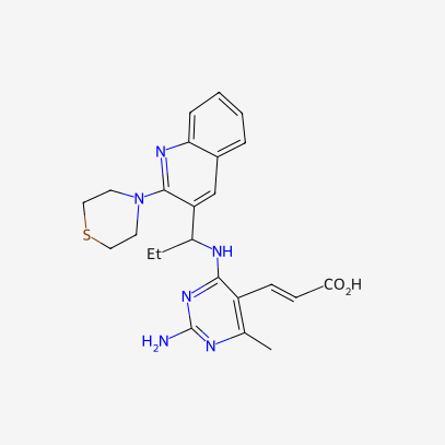 CCC(Nc1nc(N)nc(C)c1/C=C/C(=O)O)c1cc2ccccc2nc1N1CCSCC1